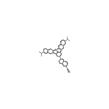 CC(C)c1ccc2cc3c(cc2c1)c1cc(-c2ccc4cc(C#N)ccc4c2)cc2c4cc5cc(C(C)C)ccc5cc4n3c12